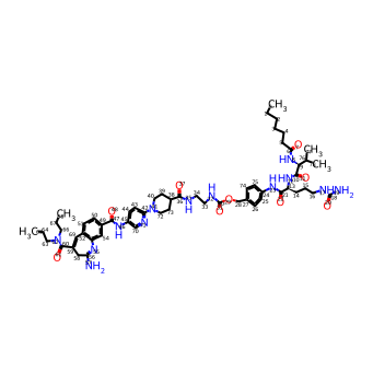 CCCCCCC(=O)N[C@H](C(=O)N[C@@H](CCCNC(N)=O)C(=O)Nc1ccc(COC(=O)NCCNC(=O)C2CCN(c3ccc(NC(=O)c4ccc5c(c4)N=C(N)CC(C(=O)N(CCC)CCC)=C5)cn3)CC2)cc1)C(C)C